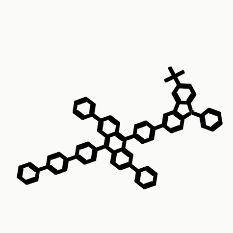 CC(C)(C)c1ccc2c(c1)c1cc(-c3ccc(-c4c5ccc(-c6ccccc6)cc5c(-c5ccc(-c6ccc(-c7ccccc7)cc6)cc5)c5ccc(-c6ccccc6)cc45)cc3)ccc1n2-c1ccccc1